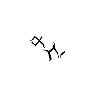 C=C(OCC1(C)COC1)C(=O)OC